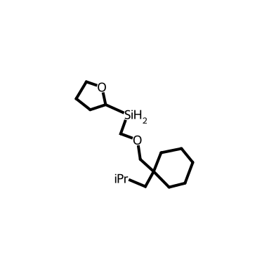 CC(C)CC1(COC[SiH2]C2CCCO2)CCCCC1